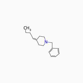 CCCC=C1CCN(Cc2ccccc2)CC1